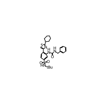 CC(C)(C)NS(=O)(=O)c1ccc(-c2csc([C]3CCCCC3)n2)c(NC(=O)NCc2ccccc2)c1